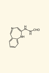 O=CNNC1=CN=Cc2ccccc2N1